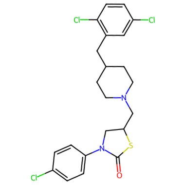 O=C1SC(CN2CCC(Cc3cc(Cl)ccc3Cl)CC2)CN1c1ccc(Cl)cc1